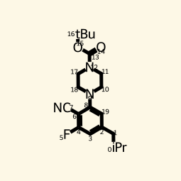 CC(C)Cc1cc(F)c(C#N)c(N2CCN(C(=O)OC(C)(C)C)CC2)c1